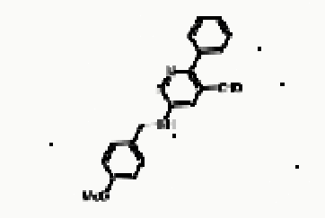 COc1ccc(CNc2cc(C=O)c(-c3ccccc3)nn2)cc1